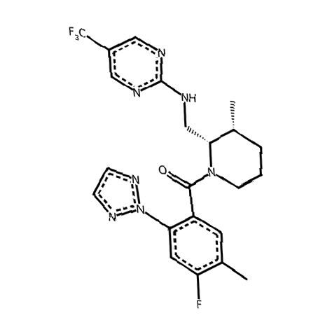 Cc1cc(C(=O)N2CCC[C@@H](C)[C@H]2CNc2ncc(C(F)(F)F)cn2)c(-n2nccn2)cc1F